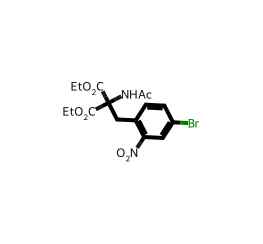 CCOC(=O)C(Cc1ccc(Br)cc1[N+](=O)[O-])(NC(C)=O)C(=O)OCC